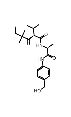 CCC(C)(C)N[C@H](C(=O)N[C@@H](C)C(=O)Nc1ccc(CO)cc1)C(C)C